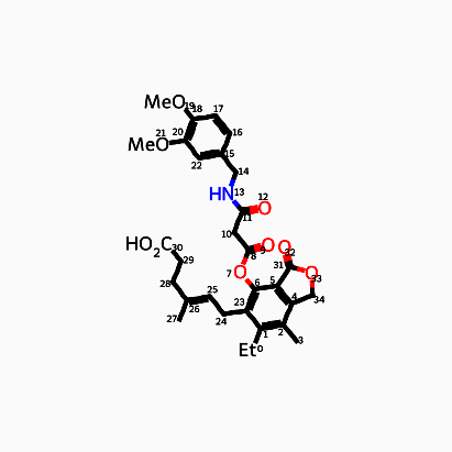 CCc1c(C)c2c(c(OC(=O)CC(=O)NCc3ccc(OC)c(OC)c3)c1C/C=C(\C)CCC(=O)O)C(=O)OC2